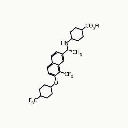 C[C@H](NC1CCC(C(=O)O)CC1)c1ccc2ccc(OC3CCC(C(F)(F)F)CC3)c(C(F)(F)F)c2c1